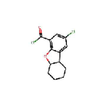 O=C(Cl)c1cc(Cl)cc2c1OC1CCCCC21